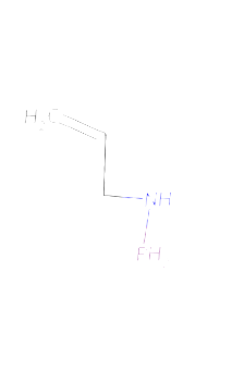 C=CCNP